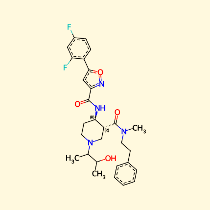 CC(O)C(C)N1CC[C@@H](NC(=O)c2cc(-c3ccc(F)cc3F)on2)[C@H](C(=O)N(C)CCc2ccccc2)C1